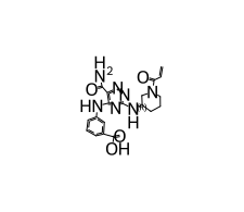 C=CC(=O)N1CCC[C@@H](Nc2nnc(C(N)=O)c(Nc3cccc(C(=O)O)c3)n2)C1